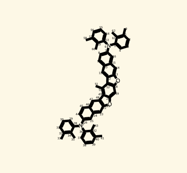 Cc1cccc(N(c2ccc3cc4c(cc3c2)oc2cc3oc5cc6cc(N(c7cccc(C)c7C)c7cccc(C)c7C)ccc6cc5c3c(C)c24)c2cccc(C)c2C)c1C